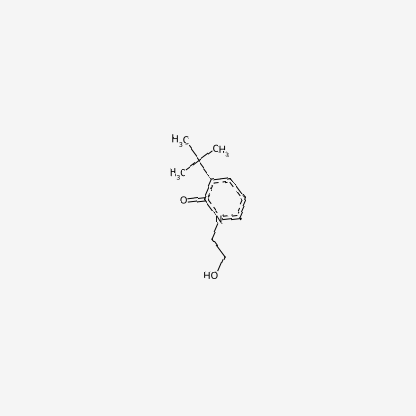 CC(C)(C)c1cccn(CCO)c1=O